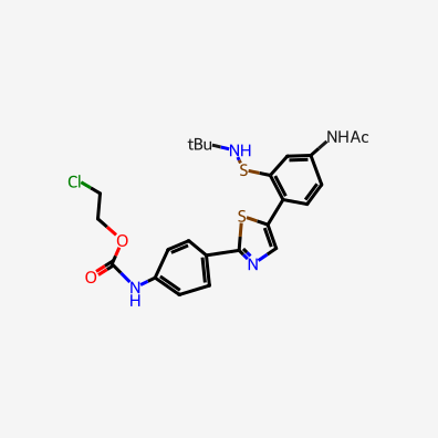 CC(=O)Nc1ccc(-c2cnc(-c3ccc(NC(=O)OCCCl)cc3)s2)c(SNC(C)(C)C)c1